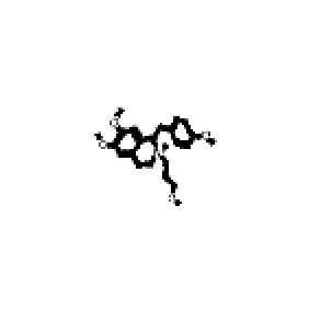 COCCC[N+]1(C)CCc2cc(OC)c(OC)cc2C1Cc1ccc(OC)cc1